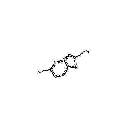 CCCc1cn2nc(Cl)ccc2n1